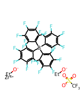 CC[O-].CC[O-].Fc1c(F)c(F)c([B-](c2c(F)c(F)c(F)c(F)c2F)(c2c(F)c(F)c(F)c(F)c2F)c2c(F)c(F)c(F)c(F)c2F)c(F)c1F.O=S(=O)([O-])C(F)(F)F.[Zr+4]